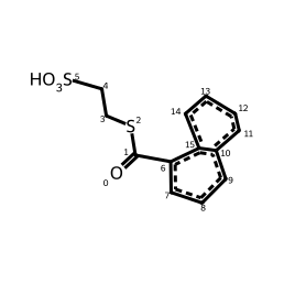 O=C(SCCS(=O)(=O)O)c1cccc2ccccc12